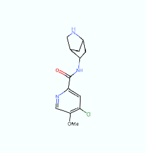 COc1cnc(C(=O)NC2CC3CC2CN3)cc1Cl